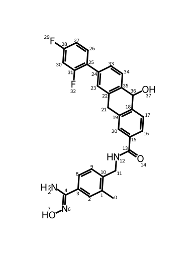 Cc1cc(C(N)=NO)ccc1CNC(=O)c1ccc2c(c1)Cc1cc(-c3ccc(F)cc3F)ccc1C2O